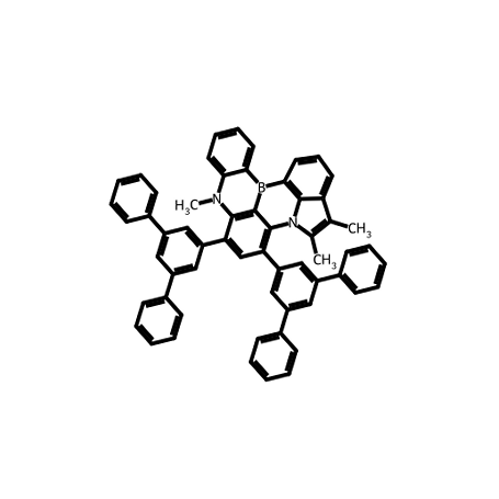 Cc1c(C)n2c3c(cccc13)B1c3ccccc3N(C)c3c(-c4cc(-c5ccccc5)cc(-c5ccccc5)c4)cc(-c4cc(-c5ccccc5)cc(-c5ccccc5)c4)c-2c31